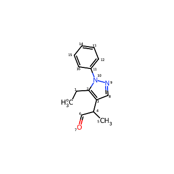 CCc1c(C(C)C=O)cnn1-c1ccccc1